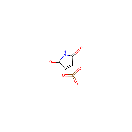 O=C1C=CC(=O)N1.O=S(=O)=O